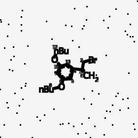 C=C(CBr)c1cc(OCCCC)cc(OCCCC)c1